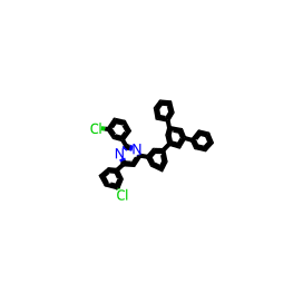 Clc1cccc(-c2cc(-c3cccc(-c4cc(-c5ccccc5)cc(-c5ccccc5)c4)c3)nc(-c3cccc(Cl)c3)n2)c1